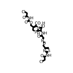 O=C(C=NOCc1csc(NC(=O)CCl)n1)NC1C(=O)N2C(C(=O)O)=C(COC(=O)NC(=O)CCl)CS[C@@H]12